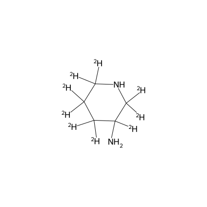 [2H]C1([2H])NC([2H])([2H])C([2H])(N)C([2H])([2H])C1([2H])[2H]